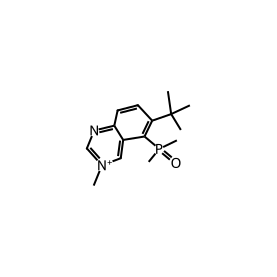 C[n+]1cnc2ccc(C(C)(C)C)c(P(C)(C)=O)c2c1